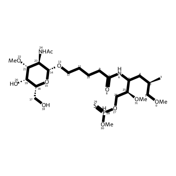 COC[C@H](C)CC(NC(=O)CCCCO[C@@H]1O[C@H](CO)[C@H](O)[C@H](OC)[C@H]1NC(C)=O)[C@H](CO[PH](=S)OC)OC